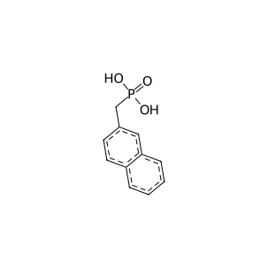 O=P(O)(O)Cc1ccc2ccccc2c1